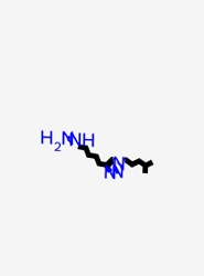 CC(C)CCCn1cc(CCCCCNN)nn1